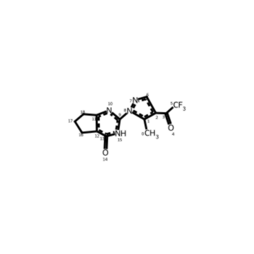 Cc1c(C(=O)C(F)(F)F)cnn1-c1nc2c(c(=O)[nH]1)CCC2